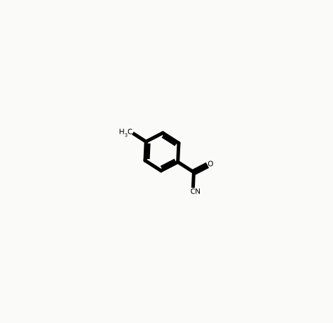 Cc1ccc(C(=O)C#N)cc1